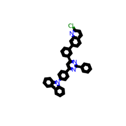 Clc1ccc2ccc(-c3cccc(-c4cc(-c5ccc(-n6c7ccccc7c7ccccc76)cc5)nc(-c5ccccc5)n4)c3)cc2n1